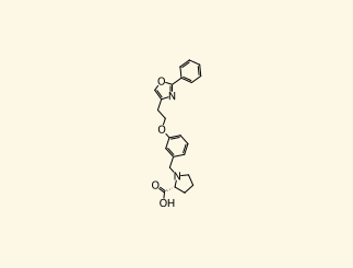 O=C(O)[C@H]1CCCN1Cc1cccc(OCCc2coc(-c3ccccc3)n2)c1